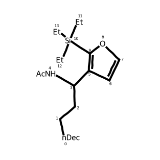 CCCCCCCCCCCCC(NC(C)=O)c1ccoc1[Si](CC)(CC)CC